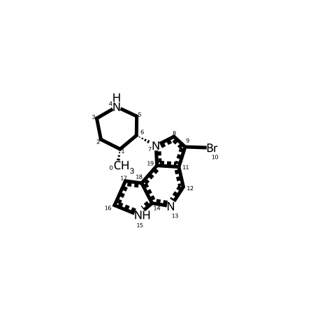 C[C@@H]1CCNC[C@@H]1n1cc(Br)c2cnc3[nH]ccc3c21